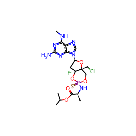 CNc1nc(N)nc2c1ncn2[C@H]1C[C@]2(F)OP(=S)(N[C@@H](C)C(=O)OC(C)C)OC[C@@]2(CCl)O1